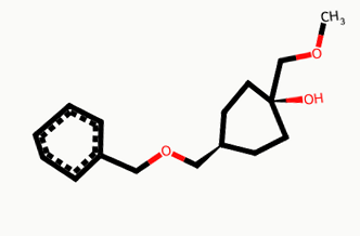 COC[C@]1(O)CC[C@@H](COCc2ccccc2)CC1